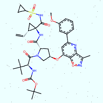 C=C[C@@H]1C[C@]1(NC(=O)[C@@H]1C[C@@H](Oc2cc(-c3cccc(OC)c3)nc3c(C)noc23)CN1C(=O)[C@@H](NC(=O)OC(C)(C)C)C(C)(C)C)C(=O)NS(=O)(=O)C1CC1